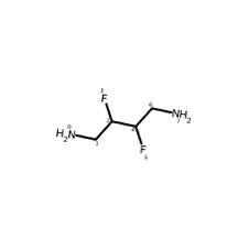 NCC(F)C(F)CN